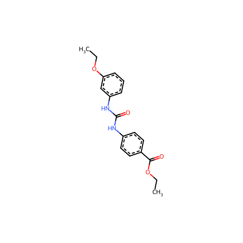 CCOC(=O)c1ccc(NC(=O)Nc2cccc(OCC)c2)cc1